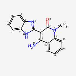 Cn1c(=O)c(-c2nc3ccccc3[nH]2)c(N)c2ccccc21